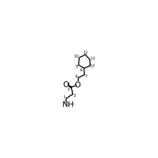 [NH]CCC(=O)OCCC1CCCCC1